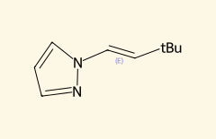 CC(C)(C)/C=C/n1cccn1